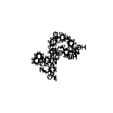 C=CC(=O)N1CCN(c2nc(OC[C@@H]3CC[C@H](CN4CCN(C(=O)C5CCN(Cc6ccc(-n7c(O)nnc7-c7cc(CC)c(O)cc7O)cc6)CC5)CC4)N3C)nc3c2CCN(c2cccc4cccc(Cl)c24)C3)C[C@@H]1CC#N